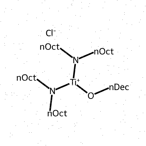 CCCCCCCCCC[O][Ti+]([N](CCCCCCCC)CCCCCCCC)[N](CCCCCCCC)CCCCCCCC.[Cl-]